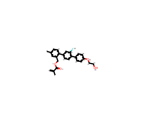 C=C(C)C(=O)OCc1cc(C)ccc1-c1ccc(-c2ccc(OCCO)cc2)c(F)c1